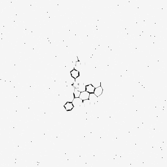 CC(=O)Nc1ccc(S(=O)(=O)N2C=C(c3ccccc3)C3C(=O)C(=O)c4c(ccc5c4CCCC5C)C32)cc1